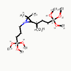 CCO[Si](CCCN1C(C(CC[Si](OCC)(OCC)OCC)C(=O)O)C1(C)C)(OCC)OCC